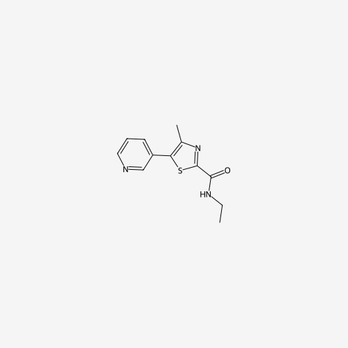 CCNC(=O)c1nc(C)c(-c2cccnc2)s1